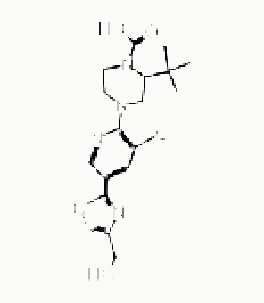 CC(C)(C)C1CN(c2ncc(-c3nc(CO)no3)cc2Cl)CCN1C(=O)O